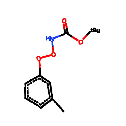 Cc1cccc(OONC(=O)OC(C)(C)C)c1